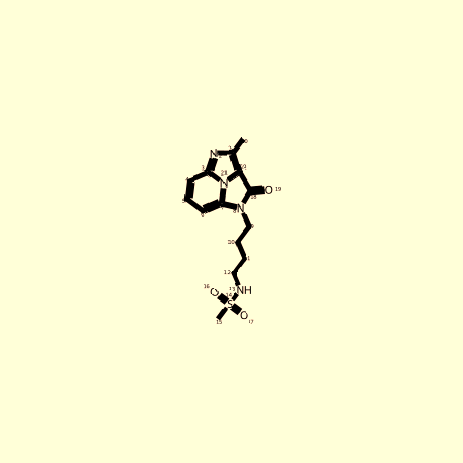 Cc1nc2cccc3n(CCCCNS(C)(=O)=O)c(=O)c1n23